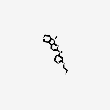 Cn1c2ccncc2c2ccc(Nc3ccnc(OCCF)c3)nc21